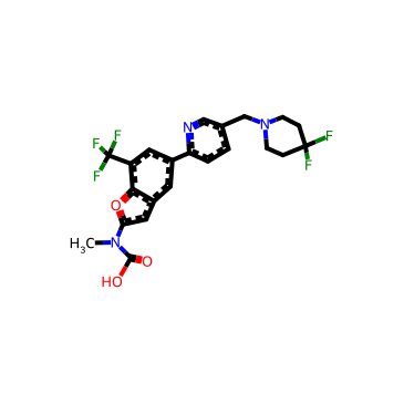 CN(C(=O)O)c1cc2cc(-c3ccc(CN4CCC(F)(F)CC4)cn3)cc(C(F)(F)F)c2o1